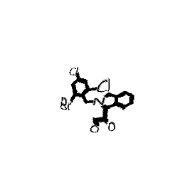 O=CC(=O)C1c2ccccc2CN1Cc1c(Cl)cc(Cl)cc1Br